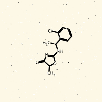 CC1SC(N[C@@H](C)c2ccccc2Cl)=NC1=O